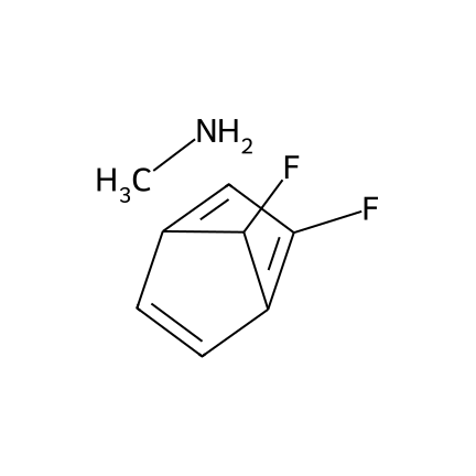 CN.FC1=C2C=CC(=C1)C2F